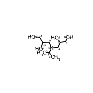 CC(C)N(CC(O)CO)CC(O)CO